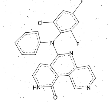 O=c1[nH]ccc2c(N(c3ccccc3)c3c(F)cc(F)cc3Cl)nc3ccncc3c12